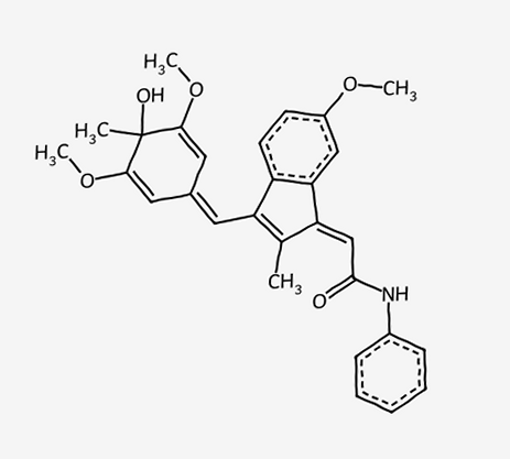 COC1=CC(=CC2=C(C)/C(=C\C(=O)Nc3ccccc3)c3cc(OC)ccc32)C=C(OC)C1(C)O